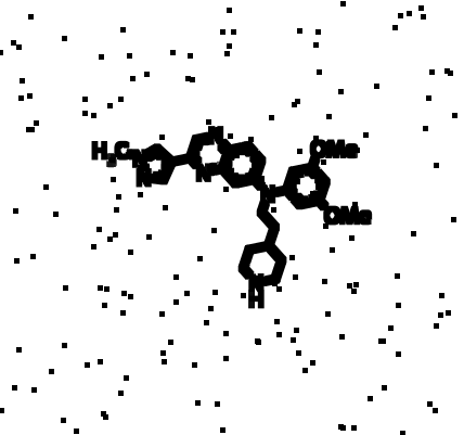 COc1cc(OC)cc(N(CCC2CCNCC2)c2ccc3ncc(-c4cnn(C)c4)nc3c2)c1